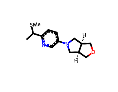 CSC(C)c1ccc(N2C[C@H]3COC[C@H]3C2)cn1